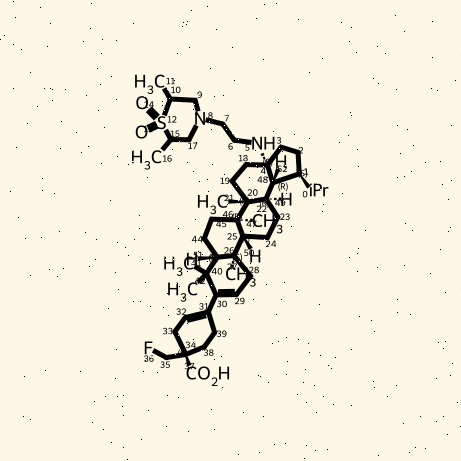 CC(C)[C@@H]1CC[C@]2(NCCN3CC(C)S(=O)(=O)C(C)C3)CC[C@]3(C)[C@H](CC[C@@H]4[C@@]5(C)CC=C(C6=CC[C@](CF)(C(=O)O)CC6)C(C)(C)[C@@H]5CC[C@]43C)[C@@H]12